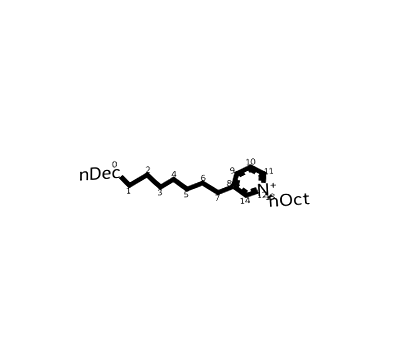 CCCCCCCCCCCCCCCCCc1ccc[n+](CCCCCCCC)c1